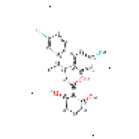 CC(c1cccc(F)c1)C(CC(=O)C1C(=O)CCCC1=O)c1ccc(F)cc1